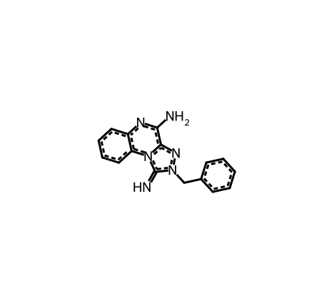 N=c1n(Cc2ccccc2)nc2c(N)nc3ccccc3n12